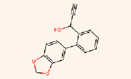 C#CC(O)c1ccccc1-c1ccc2c(c1)OCO2